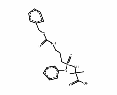 CC(C)(NP(=O)(CCCNC(=O)OCc1ccccc1)Oc1ccccc1)C(=O)O